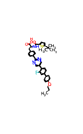 CCCOc1ccc(-c2ccc(-c3cnc(-c4ccc(C[C@H](NC(=O)c5ccc(C(C)(C)C)s5)C(=O)O)cc4)nc3)c(F)c2)cc1